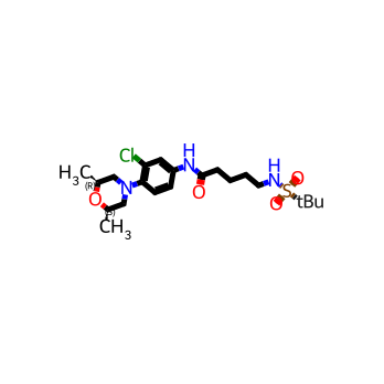 C[C@@H]1CN(c2ccc(NC(=O)CCCCNS(=O)(=O)C(C)(C)C)cc2Cl)C[C@H](C)O1